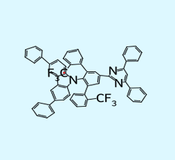 FC(F)(F)c1ccccc1-c1cc(-c2nc(-c3ccccc3)cc(-c3ccccc3)n2)cc(-c2ccccc2C(F)(F)F)c1-n1c2ccc(-c3ccccc3)cc2c2cc(-c3ccccc3)ccc21